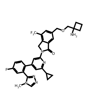 Cn1cnnc1-c1cc(F)ccc1-c1cc(C2CC2)nc(N2Cc3c(cc(COCC4(N)CCC4)cc3C(F)(F)F)C2=O)c1